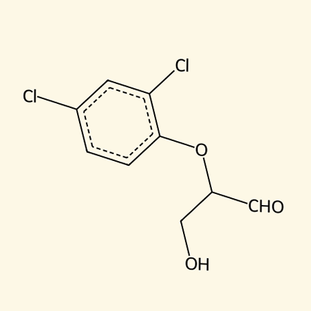 O=CC(CO)Oc1ccc(Cl)cc1Cl